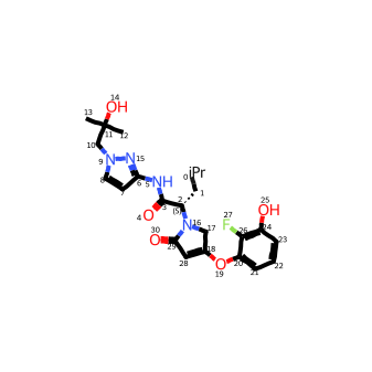 CC(C)C[C@@H](C(=O)Nc1ccn(CC(C)(C)O)n1)N1CC(Oc2cccc(O)c2F)=CC1=O